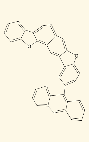 c1ccc2c(-c3ccc4oc5cc6ccc7c8ccccc8oc7c6cc5c4c3)c3ccccc3cc2c1